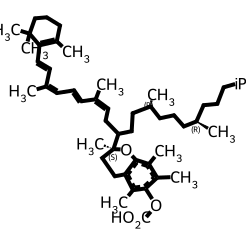 CC(C=CC1=C(C)CCCC1(C)C)=CC=CC(C)=CCC(CC[C@H](C)CCC[C@H](C)CCCC(C)C)[C@]1(C)CCc2c(C)c(OC(=O)O)c(C)c(C)c2O1